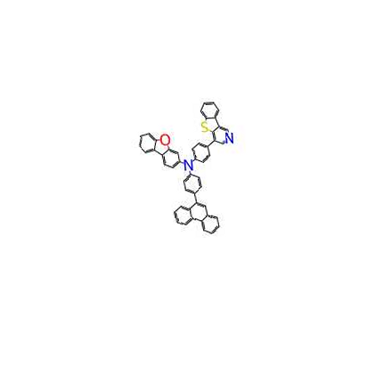 c1ccc2c(c1)cc(-c1ccc(N(c3ccc(-c4cncc5c4sc4ccccc45)cc3)c3ccc4c(c3)oc3ccccc34)cc1)c1ccccc12